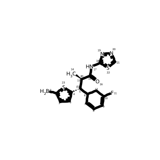 Bc1ccc([C@@H](C2C=CC=C(F)C2)[C@@H](C)C(=O)Nc2nncs2)s1